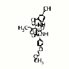 C#Cc1ccc(NC(=O)[C@H]([C@@H](C)CC)N2C(=O)N[C@H](c3ccc(OCCOC)cc3)C2=O)c(Cl)c1